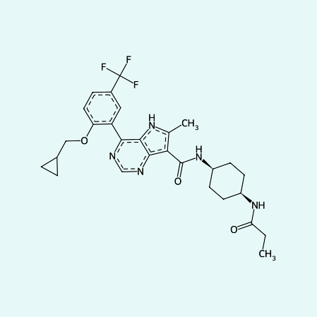 CCC(=O)N[C@H]1CC[C@@H](NC(=O)c2c(C)[nH]c3c(-c4cc(C(F)(F)F)ccc4OCC4CC4)ncnc23)CC1